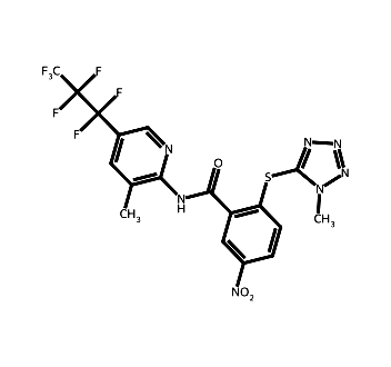 Cc1cc(C(F)(F)C(F)(F)C(F)(F)F)cnc1NC(=O)c1cc([N+](=O)[O-])ccc1Sc1nnnn1C